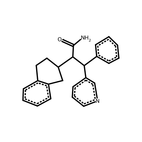 NC(=O)C(C1CCc2ccccc2C1)C(c1ccccc1)c1cccnc1